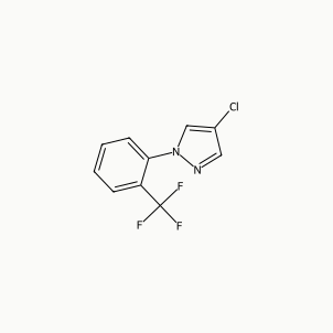 FC(F)(F)c1ccccc1-n1cc(Cl)cn1